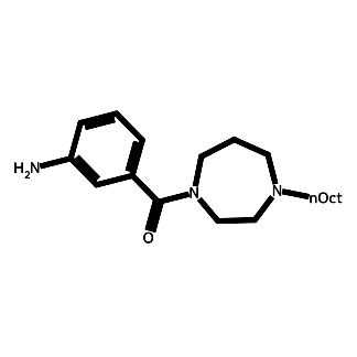 CCCCCCCCN1CCCN(C(=O)c2cccc(N)c2)CC1